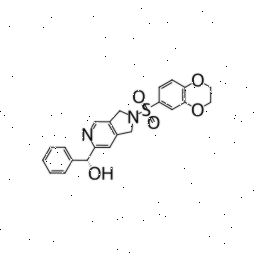 O=S(=O)(c1ccc2c(c1)OCCO2)N1Cc2cnc([C@H](O)c3ccccc3)cc2C1